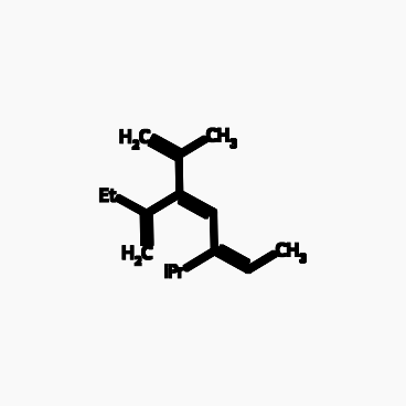 C=C(C)/C(=C/C(=C\C)C(C)C)C(=C)CC